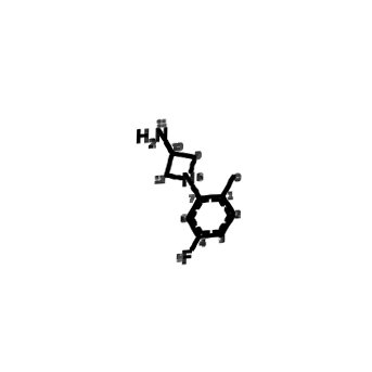 Cc1ccc(F)cc1N1CC(N)C1